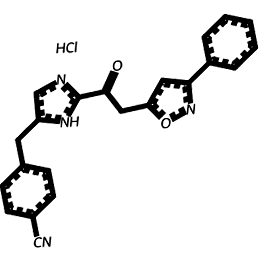 Cl.N#Cc1ccc(Cc2cnc(C(=O)Cc3cc(-c4ccccc4)no3)[nH]2)cc1